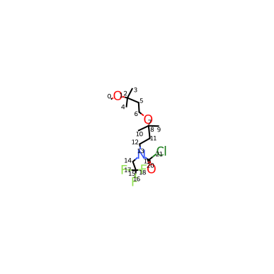 COC(C)(C)CCOC(C)(C)CCN(CC(F)(F)F)C(=O)Cl